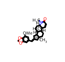 COc1cc(C=C2C[C@H]3[C@@H]4CC[C@H]5N(C)C(=O)C=C[C@]5(C)[C@H]4CC[C@]3(C)C2)cc2c1OCO2